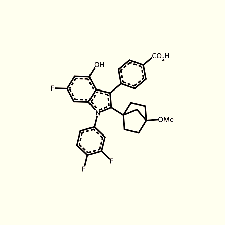 COC12CCC(c3c(-c4ccc(C(=O)O)cc4)c4c(O)cc(F)cc4n3-c3ccc(F)c(F)c3)(CC1)C2